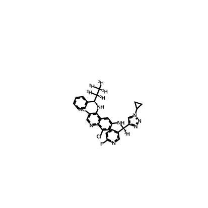 [2H]C([2H])([2H])C([2H])([2H])[C@@H](Nc1c(C#N)cnc2c(Cl)cc(N[C@@]([2H])(c3ccc(F)nc3)c3cn(C4CC4)nn3)cc12)c1ccccc1